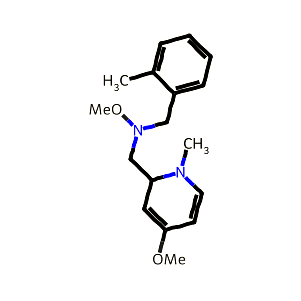 COC1=CC(CN(Cc2ccccc2C)OC)N(C)C=C1